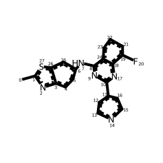 Cc1nc2ccc(Nc3nc(-c4ccncc4)nc4c(F)cccc34)cc2s1